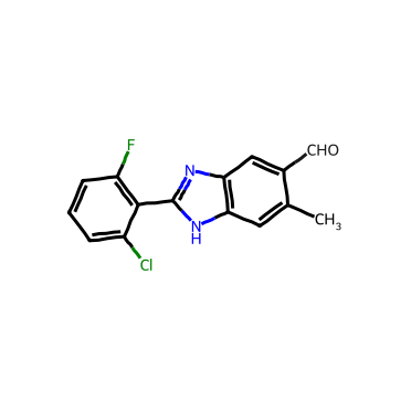 Cc1cc2[nH]c(-c3c(F)cccc3Cl)nc2cc1C=O